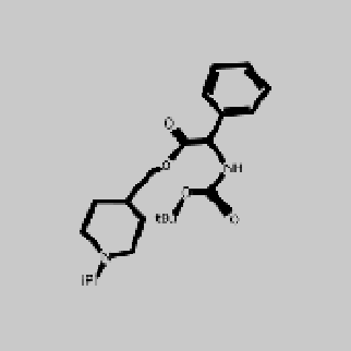 CC(C)N1CCC(COC(=O)C(NC(=O)OC(C)(C)C)c2ccccc2)CC1